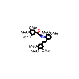 COc1cc(C=Cc2ccc(OC)c(OC)c2NC=CC(=O)c2cc(OC)c(OC)c(OC)c2)cc(OC)c1OC